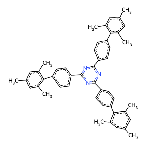 Cc1cc(C)c(-c2ccc(-c3nc(-c4ccc(-c5c(C)cc(C)cc5C)cc4)nc(-c4ccc(-c5c(C)cc(C)cc5C)cc4)n3)cc2)c(C)c1